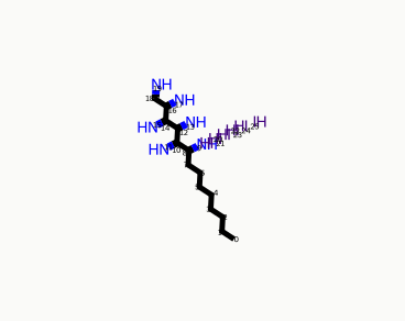 CCCCCCCCC(=N)C(=N)C(=N)C(=N)C(=N)C=N.I.I.I.I.I.I